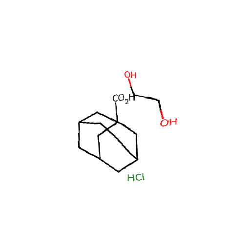 Cl.O=C(O)C12CC3CC(CC(C3)C1)C2.OCCO